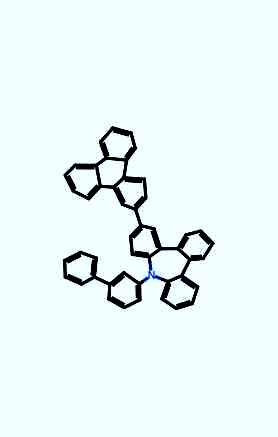 c1ccc(-c2cccc(N3c4ccccc4-c4ccccc4-c4cc(-c5ccc6c7ccccc7c7ccccc7c6c5)ccc43)c2)cc1